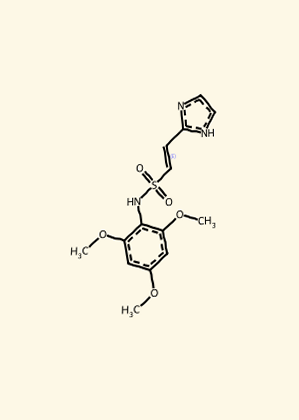 COc1cc(OC)c(NS(=O)(=O)/C=C/c2ncc[nH]2)c(OC)c1